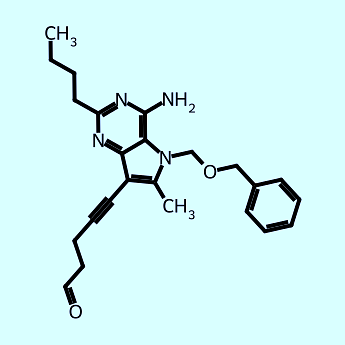 CCCCc1nc(N)c2c(n1)c(C#CCCC=O)c(C)n2COCc1ccccc1